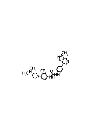 CN(C)[C@H]1CCN(c2ccc(NC(=O)Nc3ccc(-c4cncc5c4cnn5C)cc3)cc2C(F)(F)F)C1